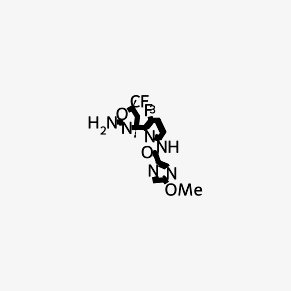 COc1cnc(C(=O)Nc2ccc(F)c([C@]3(C)C[C@@H](C(F)(F)F)OC(N)=N3)n2)cn1